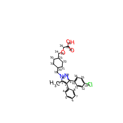 Cc1c(-c2ccccc2)c(-c2ccc(Cl)cc2)nn1CC1CCC(COCC(=O)O)CC1